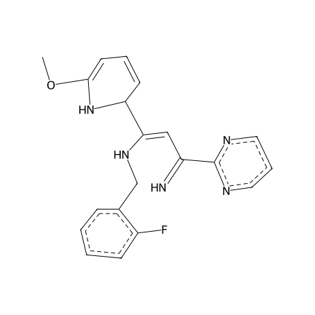 COC1=CC=CC(/C(=C/C(=N)c2ncccn2)NCc2ccccc2F)N1